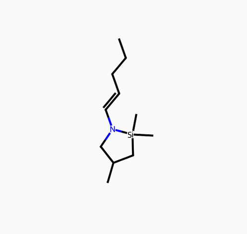 CCCC=CN1CC(C)C[Si]1(C)C